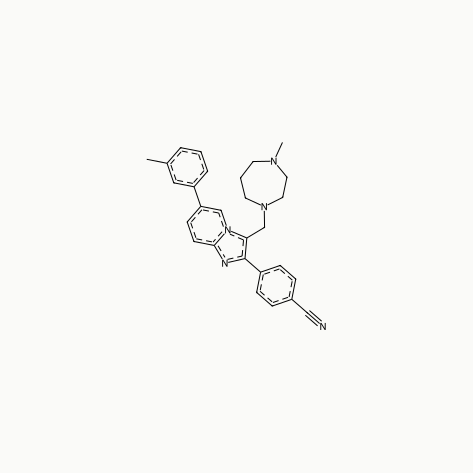 Cc1cccc(-c2ccc3nc(-c4ccc(C#N)cc4)c(CN4CCCN(C)CC4)n3c2)c1